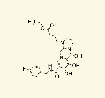 CCOC(=O)CCCN1CCCN2C(O)C3=C(O)C(O)C(C(=O)NCc4ccc(F)cc4)=CN3CC12